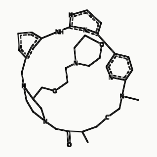 CC1CCCN(C)c2ccc(cn2)-c2ccnc(n2)Nc2cccc(c2)CN2CCN(CC1=O)CC2COCCN1CCOCC1